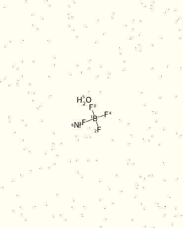 F[B-](F)(F)F.O.[Ni]